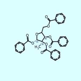 C[C@]1(OC(=O)c2ccccc2)[C@H](OC(=O)c2ccccc2)OC(COC(=O)c2ccccc2)[C@H]1OC(=O)c1ccccc1